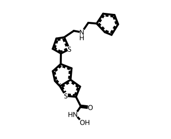 O=C(NO)c1cc2cc(-c3ccc(CNCc4ccccc4)s3)ccc2s1